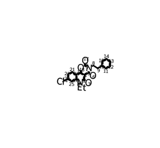 CCn1c(=O)c2c(=O)n(CCc3ccccc3)c(=O)oc2c2ccc(Cl)cc21